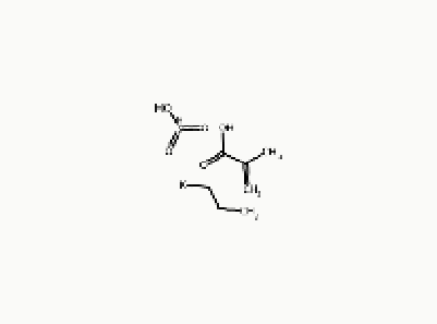 C=C(C)C(=O)O.CC[CH2][K].O=[SH](=O)O